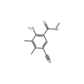 CNC(=O)c1cc(C#N)c(C)c(C)c1N